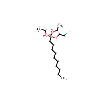 CCCCCCCCCC[Si](OCC)(OCC)OCCF